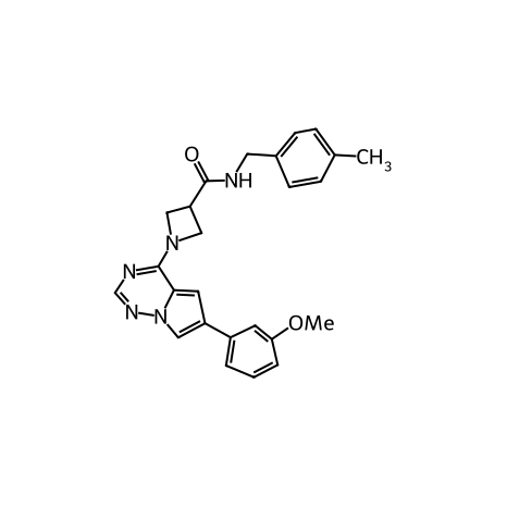 COc1cccc(-c2cc3c(N4CC(C(=O)NCc5ccc(C)cc5)C4)ncnn3c2)c1